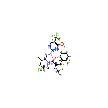 COc1nc(NCC2[C@H](C)CC(F)(F)CN2C(=O)c2nc(C)sc2-c2ccccc2F)ncc1C(F)(F)F